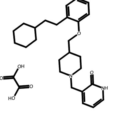 O=C(O)C(=O)O.O=c1[nH]cccc1CN1CCC(COc2ccccc2CCC2CCCCC2)CC1